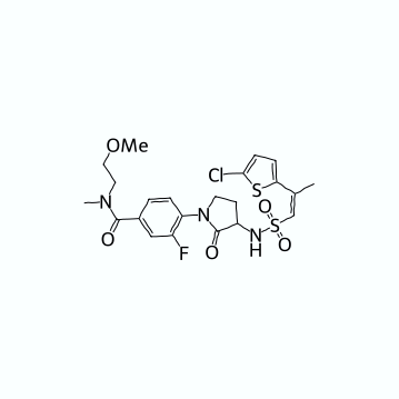 COCCN(C)C(=O)c1ccc(N2CCC(NS(=O)(=O)C=C(C)c3ccc(Cl)s3)C2=O)c(F)c1